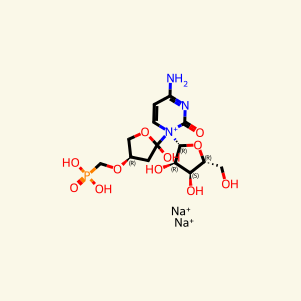 NC1=NC(=O)[N+]([C@@H]2O[C@H](CO)[C@@H](O)[C@H]2O)(C2(O)C[C@@H](OCP(=O)(O)O)CO2)C=C1.[Na+].[Na+]